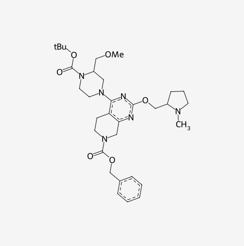 COCC1CN(c2nc(OCC3CCCN3C)nc3c2CCN(C(=O)OCc2ccccc2)C3)CCN1C(=O)OC(C)(C)C